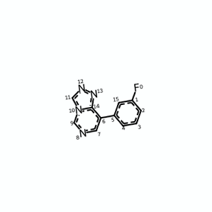 Fc1cccc(-c2cncn3cnnc23)c1